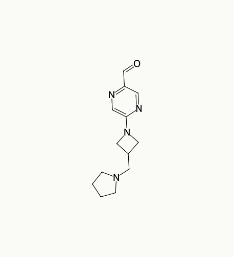 O=Cc1cnc(N2CC(CN3CCCC3)C2)cn1